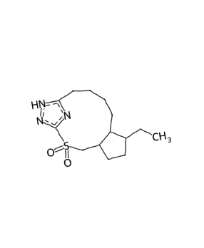 CCC1CCC2CS(=O)(=O)c3n[nH]c(n3)CCCCC12